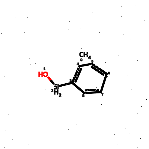 C.O[SiH2]c1ccccc1